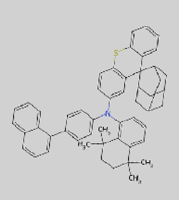 CC1(C)CCC(C)(C)c2c(N(c3ccc(-c4cccc5ccccc45)cc3)c3ccc4c(c3)C3(c5ccccc5S4)C4CC5CC(C4)CC3C5)cccc21